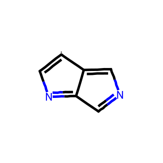 [C]1=CN=C2C=NC=C12